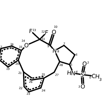 CS(=O)(=O)NC1CCN2C(=O)C(F)(F)Oc3ccccc3-c3cccc(c3)CC12